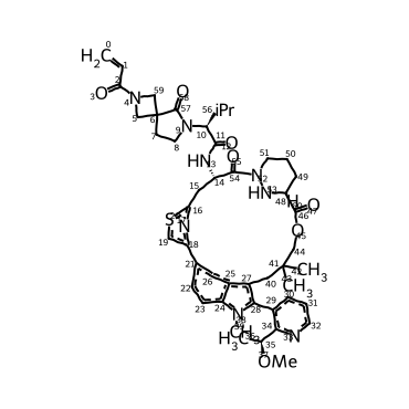 C=CC(=O)N1CC2(CCN([C@H](C(=O)N[C@H]3Cc4nc(cs4)-c4ccc5c(c4)c(c(-c4cccnc4[C@H](C)OC)n5C)CC(C)(C)COC(=O)[C@@H]4CCCN(N4)C3=O)C(C)C)C2=O)C1